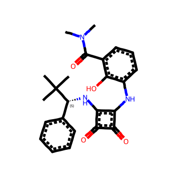 CN(C)C(=O)c1cccc(Nc2c(N[C@H](c3ccccc3)C(C)(C)C)c(=O)c2=O)c1O